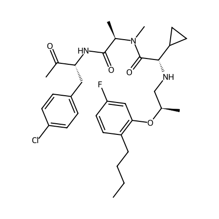 CCCCc1ccc(F)cc1O[C@H](C)CN[C@H](C(=O)N(C)[C@H](C)C(=O)N[C@H](Cc1ccc(Cl)cc1)C(C)=O)C1CC1